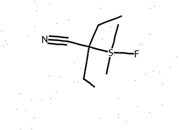 CCC(C#N)(CC)S(C)(C)F